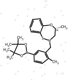 Cc1ccc(B2OC(C)(C)C(C)(C)O2)cc1CN1C[C@@H](C)Oc2ccccc2S1